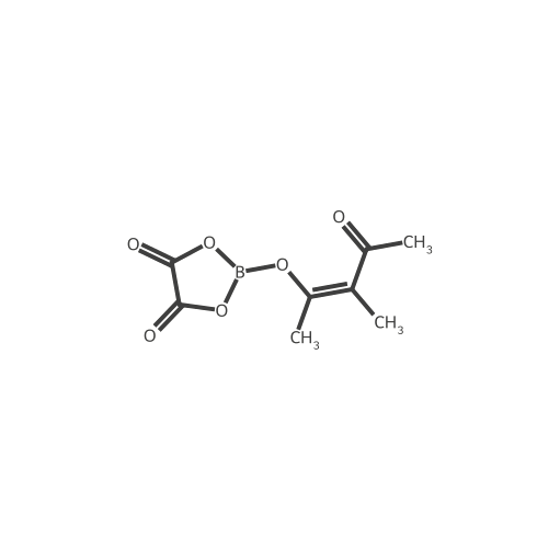 CC(=O)/C(C)=C(/C)OB1OC(=O)C(=O)O1